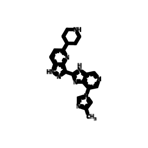 Cc1cn(-c2cncc3[nH]c(-c4n[nH]c5ccc(C6CCNCC6)nc45)nc23)cn1